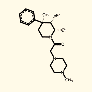 CCC[C@@H]1[C@H](CC)N(C(=O)CN2CCN(C)CC2)CC[C@@]1(O)c1ccccc1